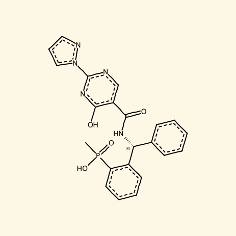 CP(=O)(O)c1ccccc1[C@H](NC(=O)c1cnc(-n2cccn2)nc1O)c1ccccc1